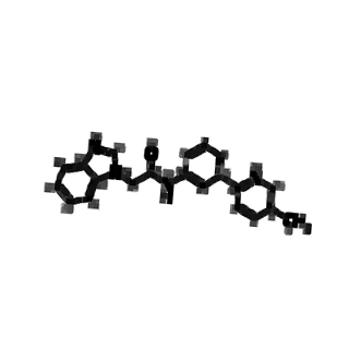 Cc1ccc(-c2cccc(NC(=O)Cn3cnc4ccccc43)c2)nc1